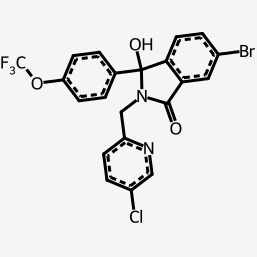 O=C1c2cc(Br)ccc2C(O)(c2ccc(OC(F)(F)F)cc2)N1Cc1ccc(Cl)cn1